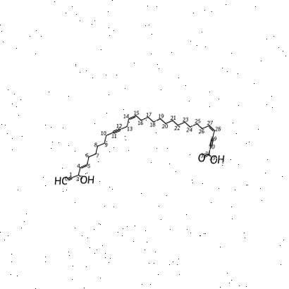 C#CC(O)/C=C/CCCCCC#CC/C=C\CCCCCCCCCCC/C=C\C#CC(=O)O